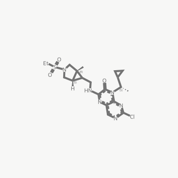 CCS(=O)(=O)N1C[C@H]2C(CNc3nc4cnc(Cl)nc4n([C@@H](C)C4CC4)c3=O)[C@@]2(C)C1